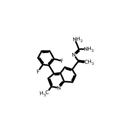 C=C(N=C(N)N)c1ccc2nc(C)cc(-c3c(F)cccc3F)c2c1